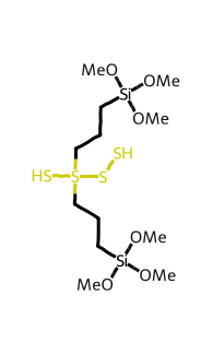 CO[Si](CCCS(S)(CCC[Si](OC)(OC)OC)SS)(OC)OC